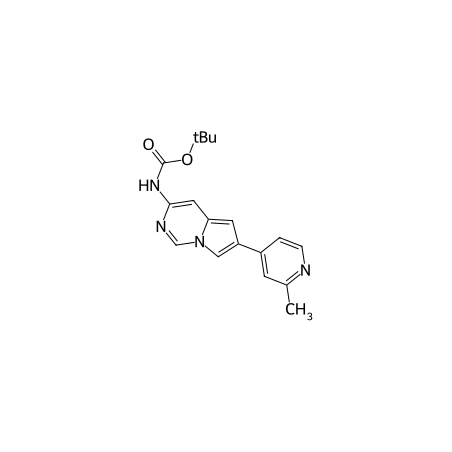 Cc1cc(-c2cc3cc(NC(=O)OC(C)(C)C)ncn3c2)ccn1